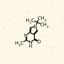 Cc1nc2cn(C(C)(C)C)cc2c(=O)[nH]1